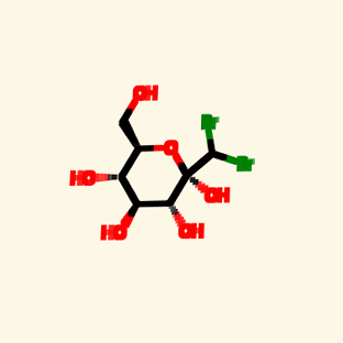 OC[C@H]1O[C@@](O)(C(Br)Br)[C@H](O)[C@@H](O)[C@@H]1O